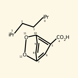 CC(C)CCC(C)C.O=C(O)c1cc2ccc1OO2